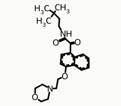 CC(C)(C)CCNC(=O)C(=O)c1ccc(OCCN2CCOCC2)c2ccccc12